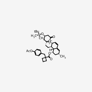 CC(=O)Oc1ccc(CC2(C(=O)O[C@H]3C[C@@H](C)C=C4C=C[C@H](C)[C@H](CC[C@@H]5C[C@@H](O[Si](C)(C)C(C)(C)C)CC(=O)O5)[C@H]43)CCC2)cc1